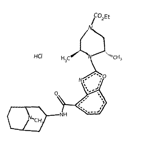 CCOC(=O)N1C[C@H](C)N(c2nc3c(C(=O)NC4CC5CCCC(C4)N5C)cccc3o2)[C@@H](C)C1.Cl